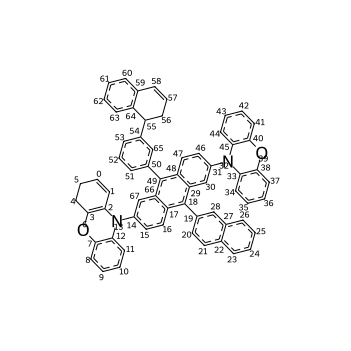 C1=CC2=C(CC1)Oc1ccccc1N2c1ccc2c(-c3ccc4ccccc4c3)c3cc(N4c5ccccc5Oc5ccccc54)ccc3c(-c3cccc(C4CC=Cc5ccccc54)c3)c2c1